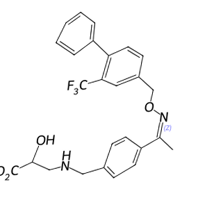 C/C(=N/OCc1ccc(-c2ccccc2)c(C(F)(F)F)c1)c1ccc(CNCC(O)C(=O)O)cc1